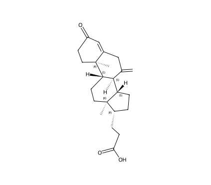 C=C1CC2=CC(=O)CC[C@]2(C)[C@H]2CC[C@]3(C)[C@@H](CCC(=O)O)CC[C@H]3[C@H]12